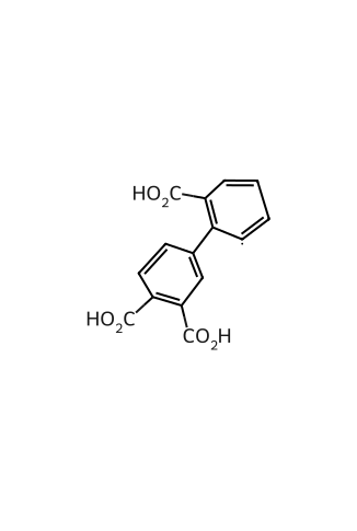 O=C(O)c1ccc[c]c1-c1ccc(C(=O)O)c(C(=O)O)c1